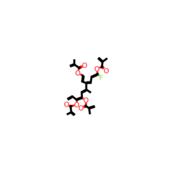 C=C/C(OC(=O)C(=C)C)=C(\C=C(/C)C(=C/C=C(\F)OC(=O)C(=C)C)/C=C/OC(=O)C(=C)C)OC(=O)C(=C)C